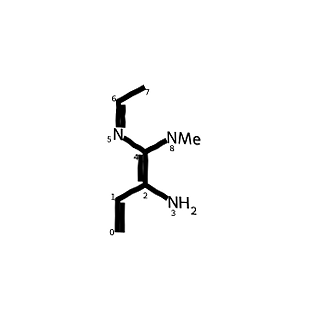 C=C/C(N)=C(\N=C/C)NC